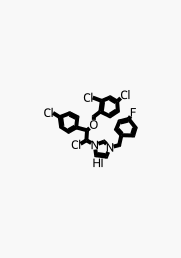 Fc1ccc(CN2C=CN(C(Cl)C(OCc3ccc(Cl)cc3Cl)c3ccc(Cl)cc3)C2)cc1.I